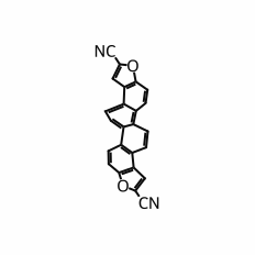 N#Cc1cc2c(ccc3c2ccc2c4ccc5oc(C#N)cc5c4ccc32)o1